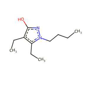 CCCCn1nc(O)c(CC)c1CC